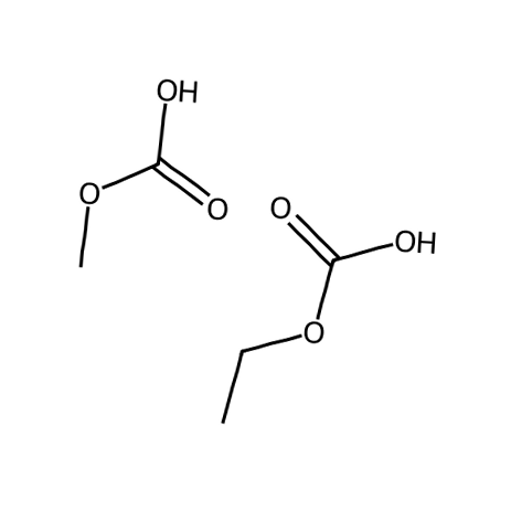 CCOC(=O)O.COC(=O)O